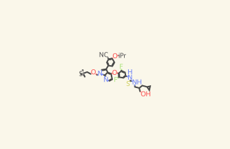 CC(C)Oc1ccc(-c2cn(COCC[Si](C)(C)C)c3nccc(Oc4c(F)cc(NC(=S)NCC(CO)CC5CC5)cc4F)c23)cc1C#N